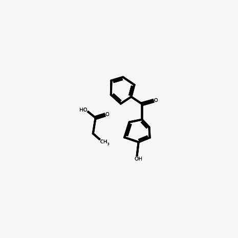 CCC(=O)O.O=C(c1ccccc1)c1ccc(O)cc1